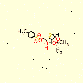 Cc1ccc(S(=O)(=O)OCC(O)[C@@H]2SC[C@H]3OC(C)(C)O[C@H]32)cc1